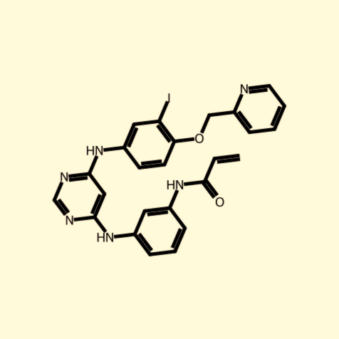 C=CC(=O)Nc1cccc(Nc2cc(Nc3ccc(OCc4ccccn4)c(I)c3)ncn2)c1